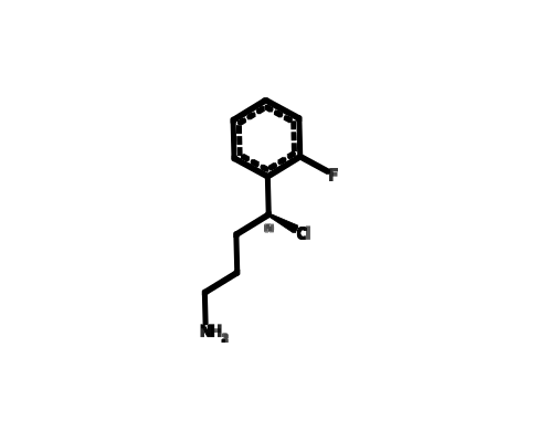 NCCC[C@H](Cl)c1ccccc1F